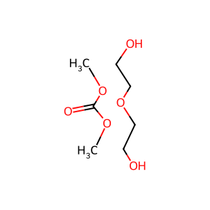 COC(=O)OC.OCCOCCO